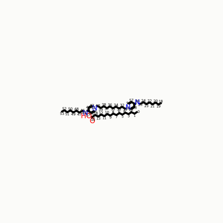 CCCCCCCCCCCCCCCC(=O)O.CCCCCCCCN=c1ccn(CCCCCCCCCCn2ccc(=NCCCCCCCC)cc2)cc1